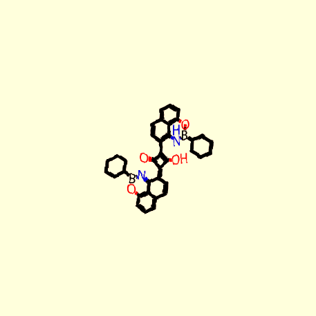 O=C1C(c2ccc3cccc4c3c2NB(C2CCCCC2)O4)=C(O)/C1=c1\ccc2cccc3c2c1=NB(C1CCCCC1)O3